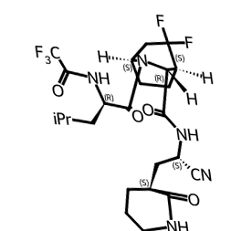 CC(C)C[C@@H](NC(=O)C(F)(F)F)C(=O)N1[C@H]2CC[C@@H]([C@@H]1C(=O)N[C@H](C#N)C[C@@H]1CCCNC1=O)C(F)(F)C2